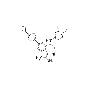 C/C(N)=C1/NCCC(Nc2ccc(F)c(Cl)c2)c2cc(C3=CCN(C4CCC4)CC3)ccc21